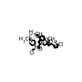 COc1ccc(OC)c2c1cc(C(=O)N(CC=O)C1CCN(C(C)C)CC1)n2Cc1cc(-c2ccc(Cl)s2)on1